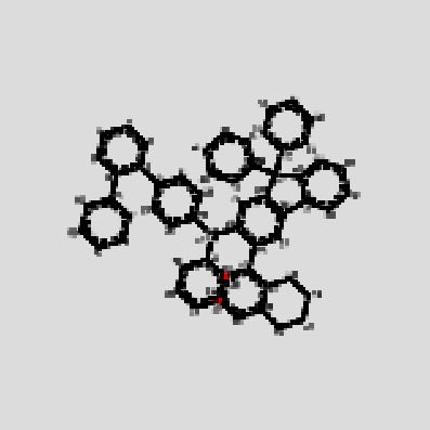 c1ccc(-c2ccccc2-c2ccc(N(c3ccccc3)c3cc4c(cc3-c3cccc5c3CCCC5)-c3ccccc3C4(c3ccccc3)c3ccccc3)cc2)cc1